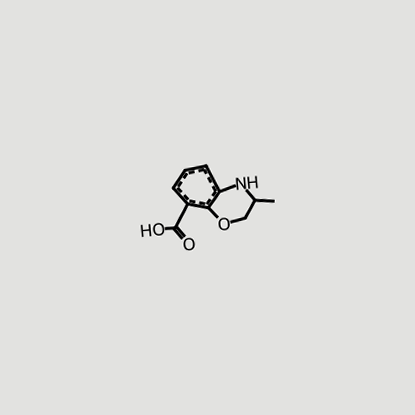 CC1COc2c(cccc2C(=O)O)N1